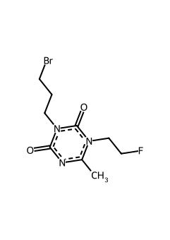 Cc1nc(=O)n(CCCBr)c(=O)n1CCF